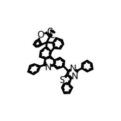 c1ccc(-c2nc(-c3ccc4c(c3)nc(-c3ccccc3)c3ccc5c(c34)-c3ccccc3C53c4ccccc4Oc4ccccc43)c3sc4ccccc4c3n2)cc1